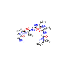 CC(C)C[C@H](NC(=O)CNC(=O)[C@H](C)NC(=O)[C@@H]1CCCN1C(=O)CN)C(=O)N[C@@H](C)C(=O)NCC(=O)N[C@@H](C)C(=O)O